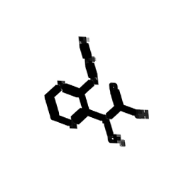 CN(C(=O)O)c1nccnc1N=[N+]=[N-]